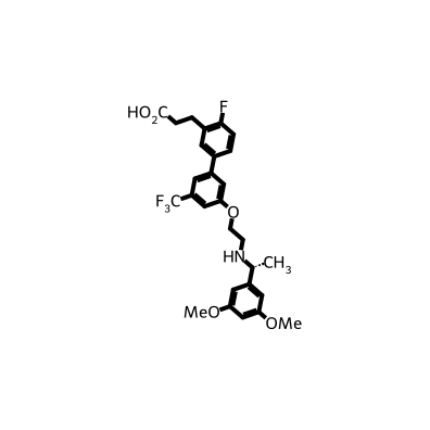 COc1cc(OC)cc([C@@H](C)NCCOc2cc(-c3ccc(F)c(CCC(=O)O)c3)cc(C(F)(F)F)c2)c1